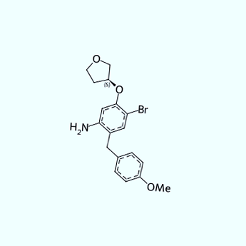 COc1ccc(Cc2cc(Br)c(O[C@H]3CCOC3)cc2N)cc1